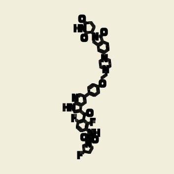 O=C1CCC(N2Cc3cc(N4CCN(CCOc5ccc(-c6cnc7[nH]cc(C(=O)c8c(F)ccc(NS(=O)(=O)N9CC[C@@H](F)C9)c8F)c7c6)cc5)CC4)ccc3C2=O)C(=O)N1